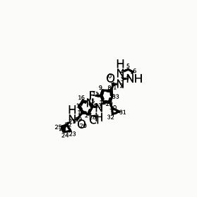 O=C(N=C1NCCN1)c1cc(F)c(Nc2nccc(C(=O)NC34CC(C3)C4)c2Cl)c(C2CC2)c1